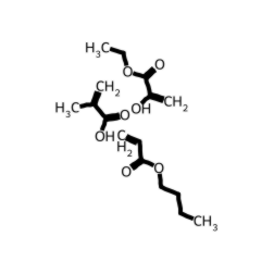 C=C(C)C(=O)O.C=C(O)C(=O)OCC.C=CC(=O)OCCCC